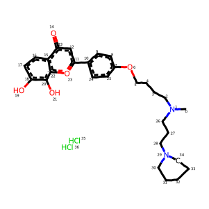 CN(CCCCOc1ccc(-c2cc(=O)c3ccc(O)c(O)c3o2)cc1)CCCN1CCCCC1.Cl.Cl